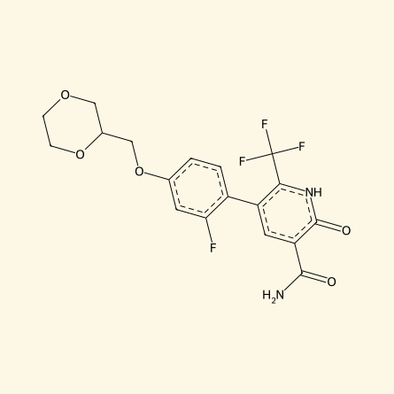 NC(=O)c1cc(-c2ccc(OCC3COCCO3)cc2F)c(C(F)(F)F)[nH]c1=O